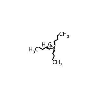 CCCC=C[Si](C)(C=CCCC)C=CCCC